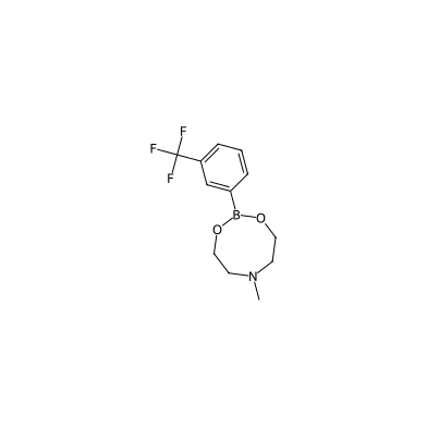 CN1CCOB(c2cccc(C(F)(F)F)c2)OCC1